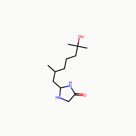 CC(CCCC(C)(C)O)CC1NCC(=O)N1